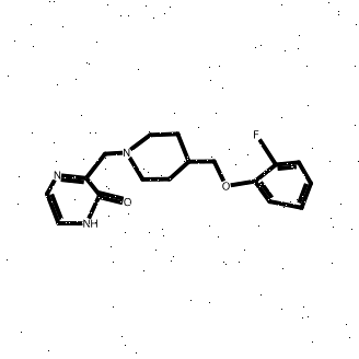 O=c1[nH]ccnc1CN1CCC(COc2ccccc2F)CC1